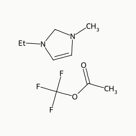 CC(=O)OC(F)(F)F.CCN1C=CN(C)C1